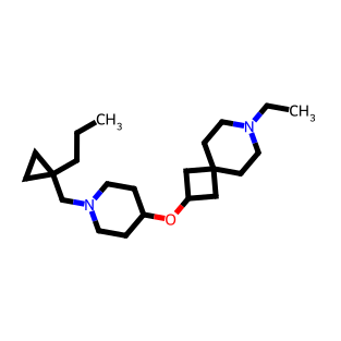 CCCC1(CN2CCC(OC3CC4(CCN(CC)CC4)C3)CC2)CC1